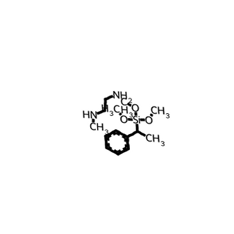 CNCCN.CO[Si](OC)(OC)C(C)c1ccccc1